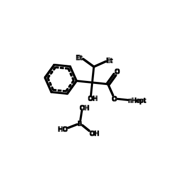 CCCCCCCOC(=O)C(O)(c1ccccc1)C(CC)CC.OB(O)O